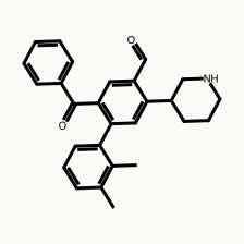 Cc1cccc(-c2cc(C3CCCNC3)c(C=O)cc2C(=O)c2ccccc2)c1C